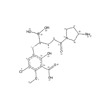 COc1c(Cl)cc(CC(SCC(=O)N2CCC(N)C2)B(O)O)c(O)c1C(=O)O